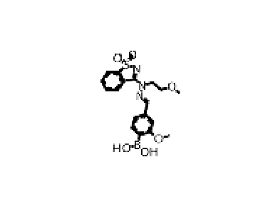 COCCN(/N=C/c1ccc(B(O)O)c(OC)c1)C1=NS(=O)(=O)c2ccccc21